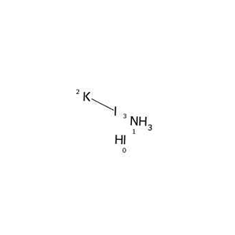 I.N.[K][I]